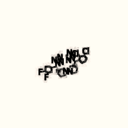 Fc1ccc(C([C@H]2CCCN(N3CCC[C@H](C(c4cccc(Cl)c4Cl)n4ncnn4)C3)C2)n2ncnn2)cc1F